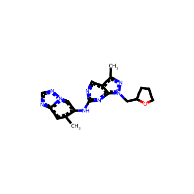 Cc1cc2ncnn2cc1Nc1ncc2c(C)nn(CC3CCCO3)c2n1